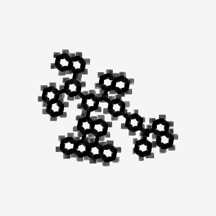 c1ccc(N(c2ccc(-c3ccc(N(c4cc(-c5cc(-c6cccc7ccccc67)cc(-c6cccc7ccccc67)c5)cc(-c5ccc(-c6cccc7ccccc67)c6c(-c7cccc8ccccc78)cccc56)c4)c4cccc5ccccc45)cc3)cc2)c2cccc3ccccc23)cc1